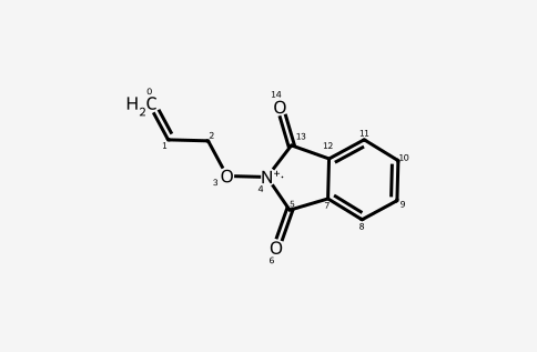 C=CCO[N+]1C(=O)c2ccccc2C1=O